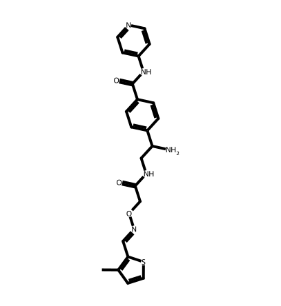 Cc1ccsc1/C=N/OCC(=O)NCC(N)c1ccc(C(=O)Nc2ccncc2)cc1